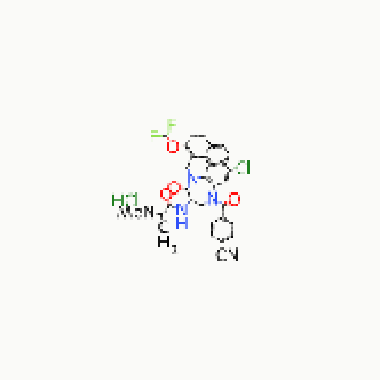 CNC(C)C(=O)NC1CN(C(=O)c2ccc(C#N)cc2)c2cc(Cl)ccc2N(Cc2c(OC(F)F)ccc3ccccc23)C1=O.Cl